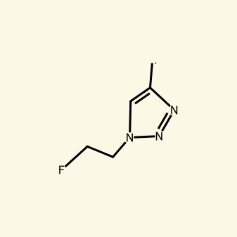 [CH2]c1cn(CCF)nn1